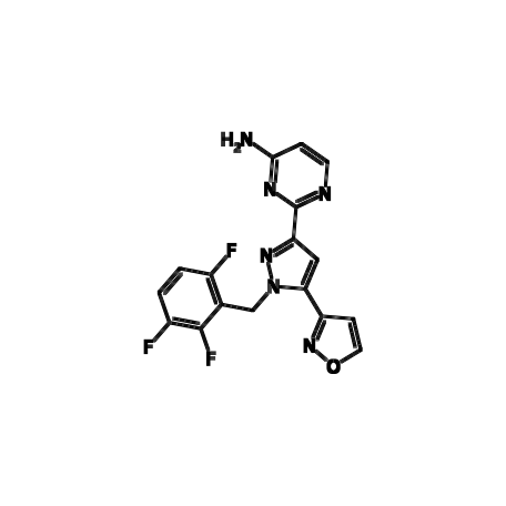 Nc1ccnc(-c2cc(-c3ccon3)n(Cc3c(F)ccc(F)c3F)n2)n1